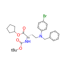 CC(C)(C)OC(=O)N[C@@H](CCN(Cc1ccccc1)c1ccc(Br)cc1)C(=O)OC1CCCC1